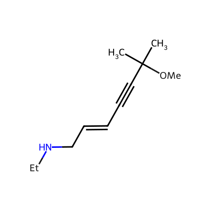 CCNCC=CC#CC(C)(C)OC